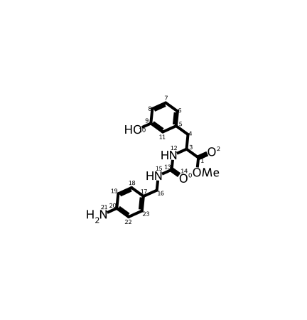 COC(=O)C(Cc1cccc(O)c1)NC(=O)NCc1ccc(N)cc1